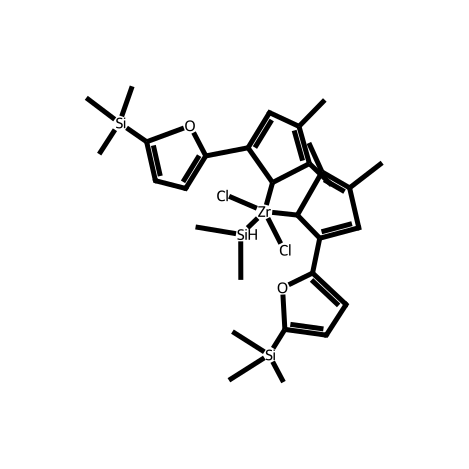 CC1=C(C)[CH]([Zr]([Cl])([Cl])([CH]2C(c3ccc([Si](C)(C)C)o3)=CC(C)=C2C)[SiH](C)C)C(c2ccc([Si](C)(C)C)o2)=C1